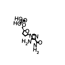 NC(=O)c1ncn([C@H]2CC[C@@H](COP(=O)(O)O)O2)c1N